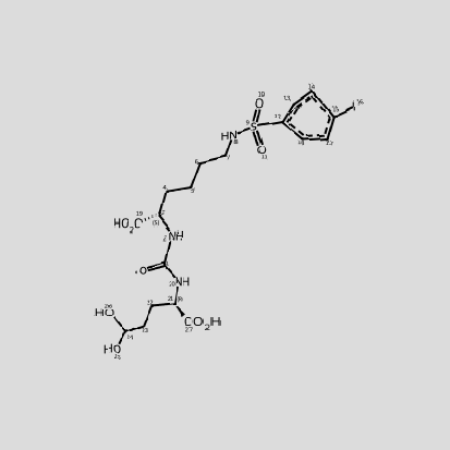 O=C(N[C@@H](CCCCNS(=O)(=O)c1ccc(I)cc1)C(=O)O)N[C@H](CCC(O)O)C(=O)O